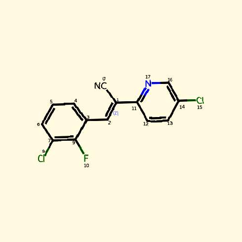 N#C/C(=C\c1cccc(Cl)c1F)c1ccc(Cl)cn1